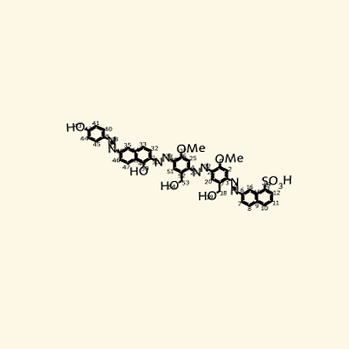 COc1cc(N=Nc2ccc3cccc(S(=O)(=O)O)c3c2)c(CO)cc1N=Nc1cc(OC)c(N=Nc2ccc3cc(N=Nc4ccc(O)cc4)ccc3c2O)cc1CO